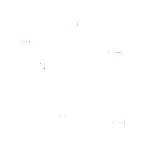 CCC(=O)/C(=N/O)C(=O)O